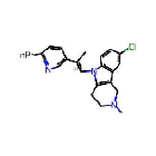 CCCc1ccc(/C(C)=C/n2c3c(c4cc(Cl)ccc42)CN(C)CC3)cn1